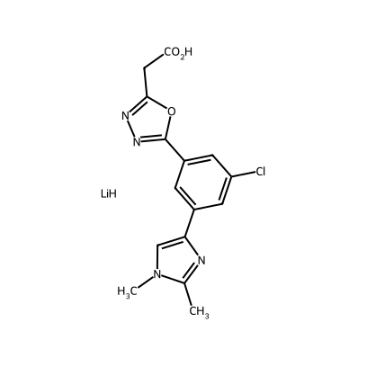 Cc1nc(-c2cc(Cl)cc(-c3nnc(CC(=O)O)o3)c2)cn1C.[LiH]